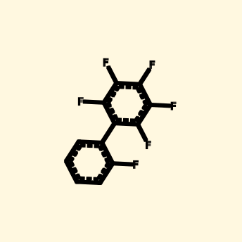 Fc1ccccc1-c1c(F)c(F)c(F)c(F)c1F